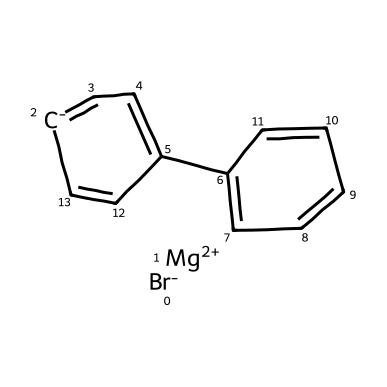 [Br-].[Mg+2].[c-]1ccc(-c2ccccc2)cc1